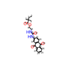 CCC(C)(C)C(=O)OCCNC(=O)Nc1ccc2c(c1)C(=O)c1ccccc1C2=O